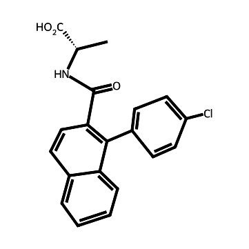 C[C@H](NC(=O)c1ccc2ccccc2c1-c1ccc(Cl)cc1)C(=O)O